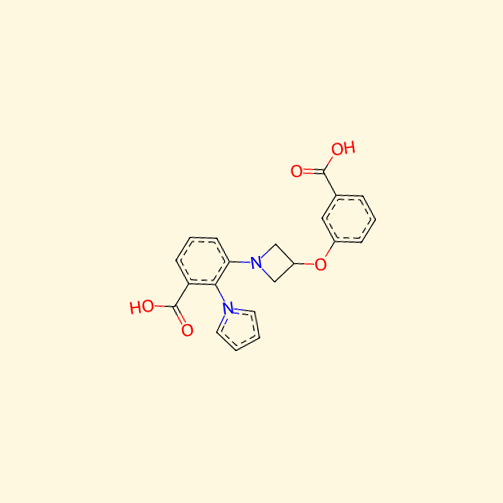 O=C(O)c1cccc(OC2CN(c3cccc(C(=O)O)c3-n3cccc3)C2)c1